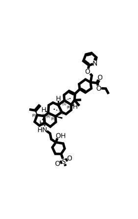 C=C(C)[C@@H]1CC[C@]2(NCCC3(O)CCC(S(C)(=O)=O)CC3)CC[C@]3(C)[C@H](CC[C@@H]4[C@@]5(C)CC=C(C6=CCC(COc7ccccn7)(C(=O)OCC)CC6)C(C)(C)[C@@H]5CC[C@]43C)[C@@H]12